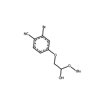 CC(C)(C)OC(O)COc1ccc(C#N)c(Br)c1